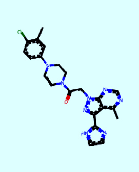 Cc1cc(N2CCN(C(=O)Cn3nc(-c4ncc[nH]4)c4c(C)ncnc43)CC2)ccc1Cl